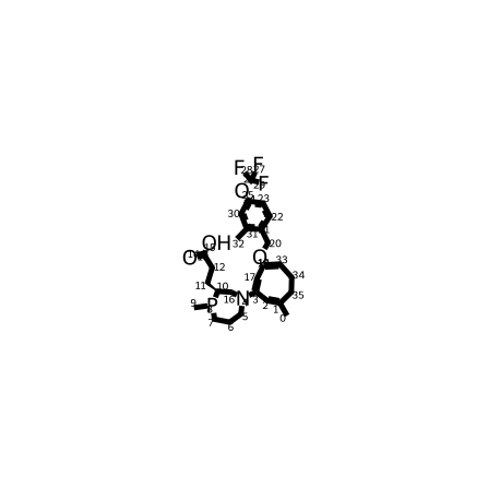 C/C1=C/C(N2CCCP(C)[C@@H](CCC(=O)O)C2)=C\C(OCc2ccc(OC(F)(F)F)cc2C)=C/CC1